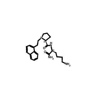 NCCCC[C@H](NC(=O)[C@@H]1CCCN1CCc1cccc2ccccc12)C(N)=O